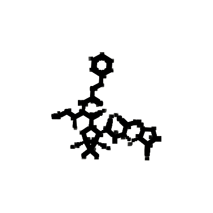 C[C@@H](OC(C)(C)C)[C@H](NC(=O)OCc1ccccc1)C(=O)N1C[C@H]2[C@@H]([C@H]1C(=O)N[C@@H](C[C@@H]1CCNC1=O)C(N)=O)C2(C)C